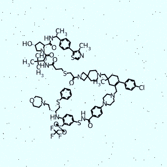 Cc1ncsc1-c1ccc([C@H](C)NC(=O)[C@@H]2C[C@@H](O)CN2C(=O)[C@@H](NC(=O)CCSCC(=O)N2CC3(CCN(CC4(C)CCC(c5ccc(Cl)cc5)=C(CN5CCN(c6ccc(C(=O)NSc7ccc(N[C@H](CCN8CCOCC8)CSc8ccccc8)c(S(=O)(=O)C(F)(F)F)c7)cc6)CC5)C4)CC3)C2)C(C)(C)C)cc1